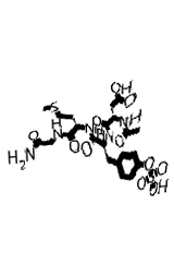 CSCC[C@H](NC(=O)[C@H](Cc1ccc(OS(=O)(=O)O)cc1)NC(=O)[C@H](CC(=O)O)NC(C)=O)C(=O)NCC(N)=O